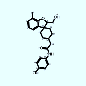 Cc1cccc2c1OC(CO)C21CCC(CC(=O)Nc2ccc(Cl)cc2)CC1